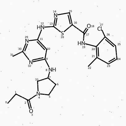 CCC(=O)N1CCC(Nc2cc(Nc3ncc(C(=O)Nc4c(C)cccc4Cl)s3)nc(C)n2)C1